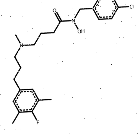 Cc1cc(CCCN(C)CCCC(=O)N(O)Cc2ccc(Cl)cc2)cc(C)c1F